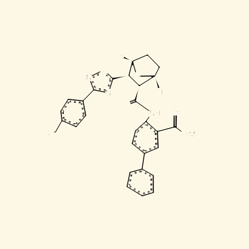 COC(=O)c1cc(-c2ccccc2)ccc1NC(=O)[C@H]1[C@@H](c2nc(-c3ccc(Cl)cc3)no2)[C@@H]2CC[C@H]1O2